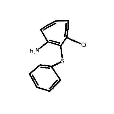 Nc1cccc(Cl)c1Sc1ccccc1